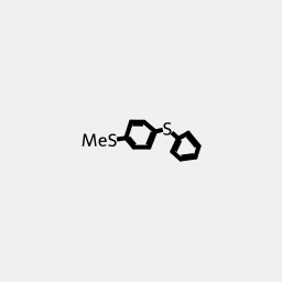 CSc1ccc(Sc2ccccc2)cc1